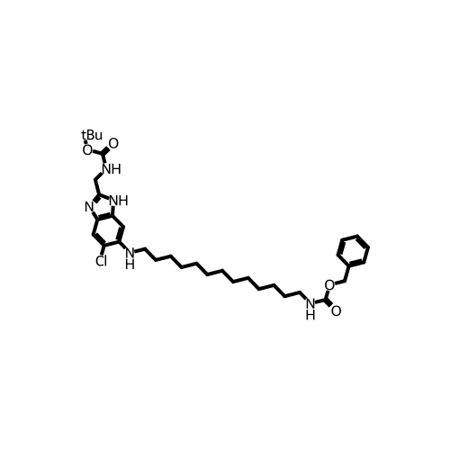 CC(C)(C)OC(=O)NCc1nc2cc(Cl)c(NCCCCCCCCCCCCCNC(=O)OCc3ccccc3)cc2[nH]1